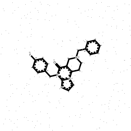 O=c1c2c(n3ccnc3n1Cc1ccc(F)cc1)CCN(Cc1ccccc1)C2